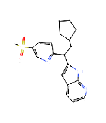 CS(=O)(=O)c1ccc(C(CC2CCCC2)c2cc3cccnc3[nH]2)nc1